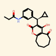 C[CH]C(=O)Nc1cccc([C@H](c2c(O)c3c(oc2=O)CCCCCC3=O)C2CC2)c1